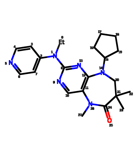 CCN(c1ccncc1)c1ncc2c(n1)N(C1CCCC1)CC(C)(C)C(=O)N2C